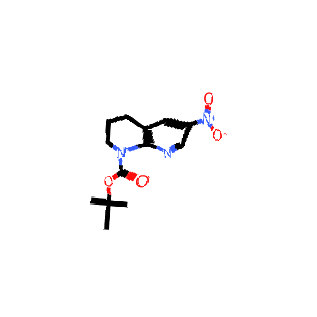 CC(C)(C)OC(=O)N1CCCc2cc([N+](=O)[O-])cnc21